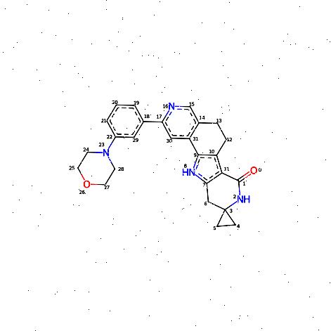 O=C1NC2(CC2)Cc2[nH]c3c(c21)CCc1cnc(-c2cccc(N4CCOCC4)c2)cc1-3